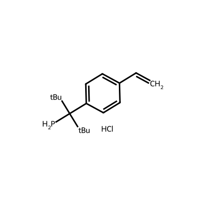 C=Cc1ccc(C(P)(C(C)(C)C)C(C)(C)C)cc1.Cl